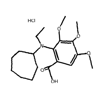 CCN(c1c(C(=O)O)cc(OC)c(OC)c1OC)C1CCCCCC1.Cl